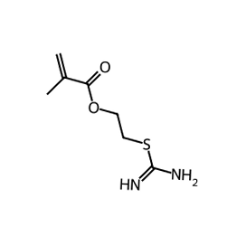 C=C(C)C(=O)OCCSC(=N)N